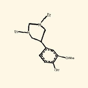 CCN1CC(c2ccc(O)c(OC)c2)CN(CC)C1